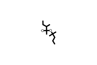 CCCC(C)(C)OC(C)([O])C(C)CC